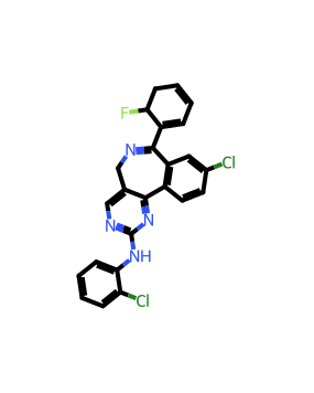 FC1CC=CC=C1C1=NCc2cnc(Nc3ccccc3Cl)nc2-c2ccc(Cl)cc21